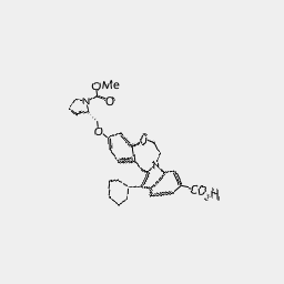 COC(=O)N1CCC[C@H]1COc1ccc2c(c1)OCCn1c-2c(C2CCCCC2)c2ccc(C(=O)O)cc21